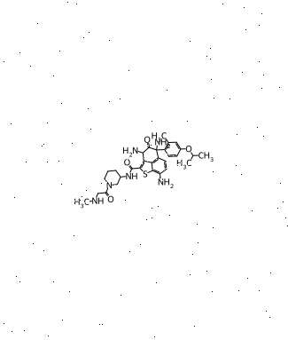 CNCC(=O)N1CCCC(NC(=O)c2sc3c(N)ccc4c3c2C(N)C(=O)C4(N)c2ccc(OC(C)C)cc2C)C1